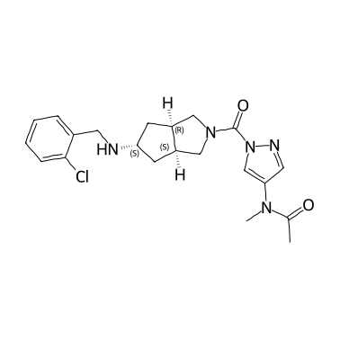 CC(=O)N(C)c1cnn(C(=O)N2C[C@H]3C[C@H](NCc4ccccc4Cl)C[C@H]3C2)c1